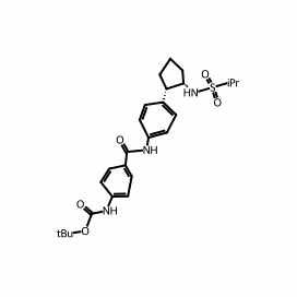 CC(C)S(=O)(=O)N[C@H]1CCC[C@H]1c1ccc(NC(=O)c2ccc(NC(=O)OC(C)(C)C)cc2)cc1